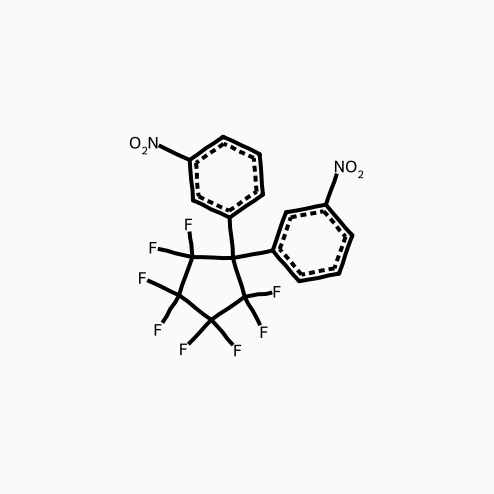 O=[N+]([O-])c1cccc(C2(c3cccc([N+](=O)[O-])c3)C(F)(F)C(F)(F)C(F)(F)C2(F)F)c1